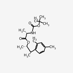 Cc1ccc([C@H](C)[C@H](C)OC(=O)[C@H](C)NC(=O)OC(C)(C)C)c(C)c1